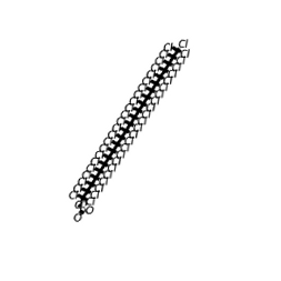 O=[SH](=O)OC(Cl)(Cl)C(Cl)(Cl)C(Cl)(Cl)C(Cl)(Cl)C(Cl)(Cl)C(Cl)(Cl)C(Cl)(Cl)C(Cl)(Cl)C(Cl)(Cl)C(Cl)(Cl)C(Cl)(Cl)C(Cl)(Cl)C(Cl)(Cl)C(Cl)(Cl)C(Cl)(Cl)C(Cl)(Cl)C(Cl)(Cl)C(Cl)(Cl)C(Cl)(Cl)C(Cl)(Cl)C(Cl)(Cl)C(Cl)(Cl)C(Cl)(Cl)Cl